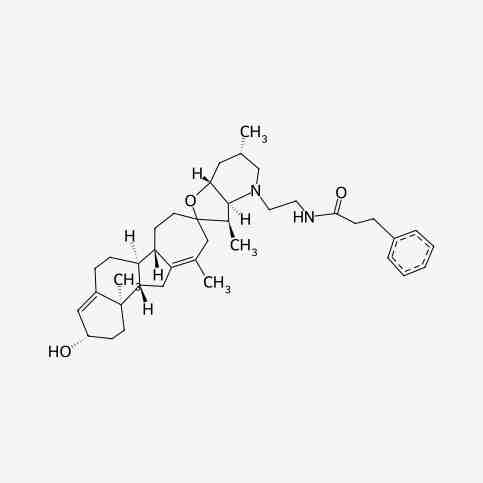 CC1=C2C[C@H]3[C@@H](CCC4=C[C@@H](O)CC[C@@]43C)[C@@H]2CCC2(C1)O[C@@H]1C[C@H](C)CN(CCNC(=O)CCc3ccccc3)[C@H]1[C@H]2C